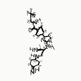 Cc1cnc(N/C(C=N)=C/NC2CCC(=N)CC2)nc1-c1ccc(C(=O)NCC(C)(F)F)cc1